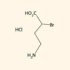 Cl.NCCC(Br)C(=O)O